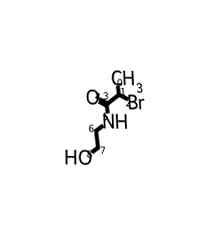 CC(Br)C(=O)NCCO